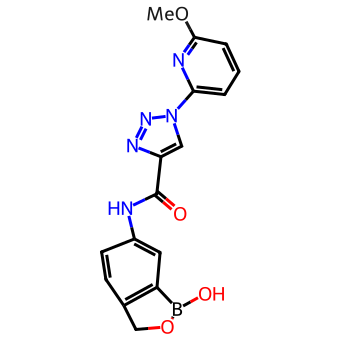 COc1cccc(-n2cc(C(=O)Nc3ccc4c(c3)B(O)OC4)nn2)n1